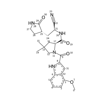 COc1cccc2[nH]c(C(=O)N3CC(C)(C)C[C@H]3C(=O)N[C@H](C#N)C[C@@H]3CCNC3=O)cc12